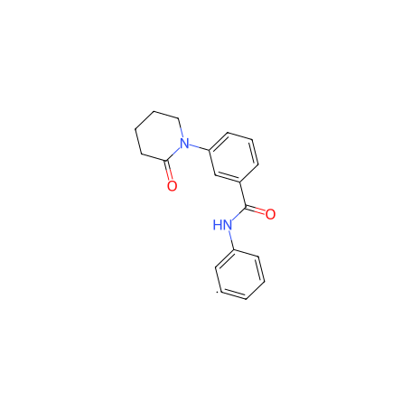 O=C(Nc1c[c]ccc1)c1cccc(N2CCCCC2=O)c1